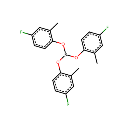 Cc1cc(F)ccc1OB(Oc1ccc(F)cc1C)Oc1ccc(F)cc1C